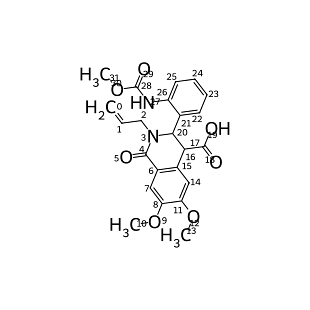 C=CCN1C(=O)c2cc(OC)c(OC)cc2C(C(=O)O)C1c1ccccc1NC(=O)OC